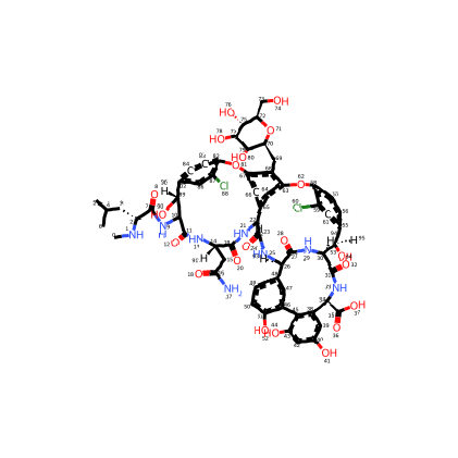 CN[C@H](CC(C)C)C(=O)NC1C(=O)N[C@@H](CC(N)=O)C(=O)N[C@H]2C(=O)N[C@H]3C(=O)N[C@H](C(=O)N[C@@H](C(=O)O)c4cc(O)cc(O)c4-c4cc3ccc4O)[C@H](O)c3ccc(c(Cl)c3)Oc3cc2cc(c3C[C@@H]2O[C@H](CO)[C@@H](O)C(O)C2O)Oc2ccc(cc2Cl)[C@H]1O